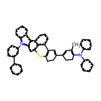 CC1=C(N(c2ccccc2)c2ccccc2)CCC(C2=CC3=C(CC2)Sc2cc4c(c5cccc3c25)c2ccccc2n4-c2cccc(-c3ccccc3)c2)=C1